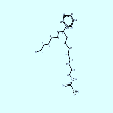 CCCCCCCC(CCCCCCCCOC(=O)O)c1ccccc1